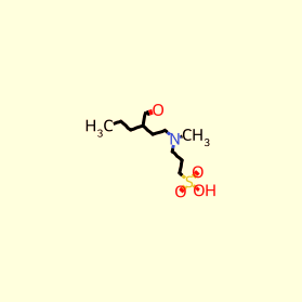 CCCC(C=O)CCN(C)CCCS(=O)(=O)O